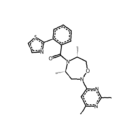 Cc1cc(N2C[C@H](C)N(C(=O)c3ccccc3-c3nccs3)[C@H](C)CO2)nc(C)n1